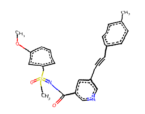 COc1cccc(S(C)(=O)=NC(=O)c2cncc(C#Cc3ccc(C)cc3)c2)c1